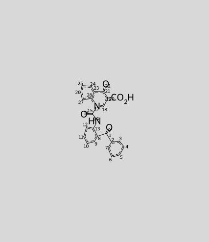 O=C(c1ccccc1)c1ccccc1NC(=O)n1cc(C(=O)O)c(=O)c2ccccc21